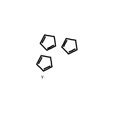 C1=CCC=C1.C1=CCC=C1.C1=CCC=C1.[Y]